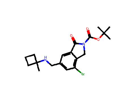 CC1(NCc2cc(Br)c3c(c2)C(=O)N(C(=O)OC(C)(C)C)C3)CCC1